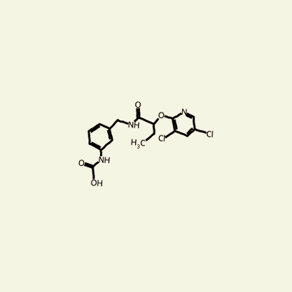 CCC(Oc1ncc(Cl)cc1Cl)C(=O)NCc1cccc(NC(=O)O)c1